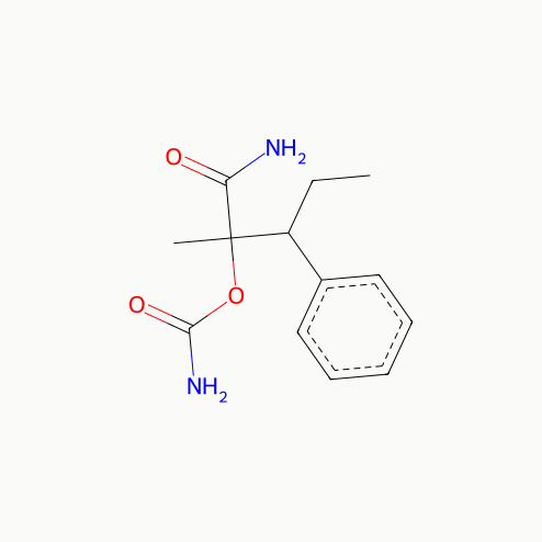 CCC(c1ccccc1)C(C)(OC(N)=O)C(N)=O